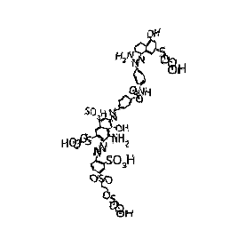 Nc1ccc2c(c1/N=N/c1ccc(NS(=O)(=O)c3ccc(/N=N/c4c(S(=O)(=O)O)cc5cc(SOOO)c(/N=N/c6ccc(S(=O)(=O)CCOSOOO)cc6S(=O)(=O)O)c(N)c5c4O)cc3)cc1)=CC(SOOO)CC=2O